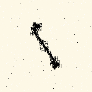 CN(C)[C@H]1Cc2c(Cl)cc(Cl)cc2[C@@H]1Oc1ccc(S(=O)(=O)NCCOCCOCCNC(=O)NCCCCNC(=O)NCCOCCOCCNS(=O)(=O)c2ccc(O[C@H]3c4cc(Cl)cc(Cl)c4C[C@@H]3N(C)C)c(F)c2)cc1F